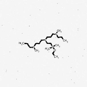 CCCN(C)CCCN(CCCN(C)CCC)CC[Si](C)(C)OCC